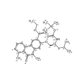 C=C(OCC)c1cc2c3ccnc(C)c3c(=O)n(C)c2cc1OC[C@H](CC(C)C)NC(=O)OC(C)(C)C